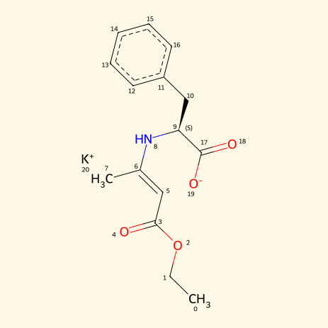 CCOC(=O)C=C(C)N[C@@H](Cc1ccccc1)C(=O)[O-].[K+]